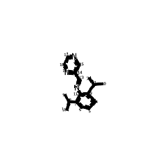 CC(C)c1cccc(C(C)C)c1N=Cc1cnccn1